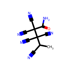 CC(C#N)C(C#N)(C#N)C(C#N)(C#N)C(N)=O